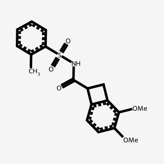 COc1ccc2c(c1OC)CC2C(=O)NS(=O)(=O)c1ccccc1C